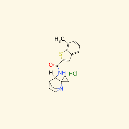 Cc1cccc2cc(C(=O)N[C@@H]3C4CCN(CC4)C34CC4)sc12.Cl